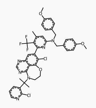 COc1ccc(CN(Cc2ccc(OC)cc2)c2cc(C)c(C(F)(F)F)c(-c3cc4ncnc5c4c(c3Cl)OCCN5C(C)(C)c3cccnc3Cl)n2)cc1